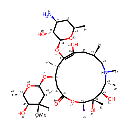 CO[C@]1(C)C[C@H](O[C@H]2[C@H](C)/C(O[C@@H]3O[C@H](C)C[C@H](N)[C@H]3O)=C(/O)C[C@@H](C)CN(C)[C@H](C)[C@@H](O)[C@](C)(O)[C@@H](I)OC(=O)[C@@H]2C)O[C@@H](C)[C@@H]1O